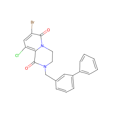 O=C1c2c(Cl)cc(Br)c(=O)n2CCN1Cc1cccc(-c2ccccc2)c1